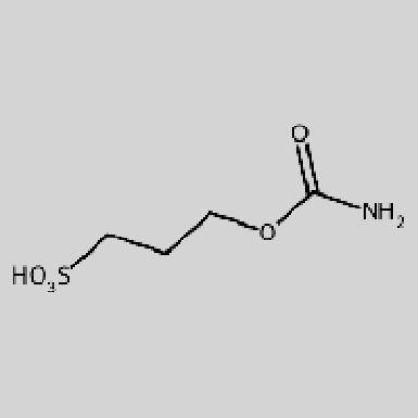 NC(=O)OCCCS(=O)(=O)O